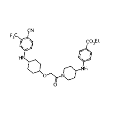 CCOC(=O)c1ccc(NC2CCN(C(=O)COC3CCC(Nc4ccc(C#N)c(C(F)(F)F)c4)CC3)CC2)cc1